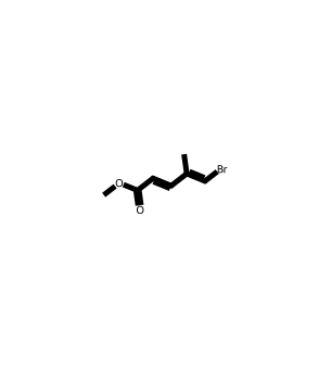 COC(=O)/C=C/C(C)=C/Br